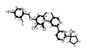 Cc1cnc(-c2ccnc(C3(O)CCCC3)n2)cc1-n1c(C)cc(OCc2ncc(F)cc2F)c(Cl)c1=O